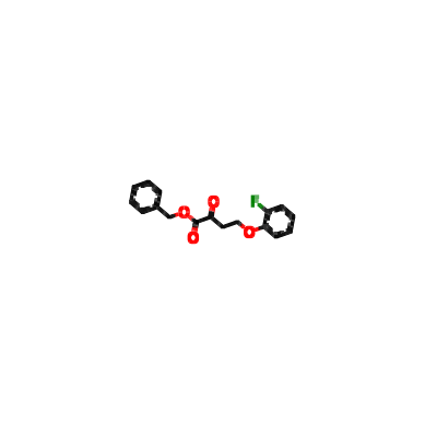 O=C(CCOc1ccccc1F)C(=O)OCc1ccccc1